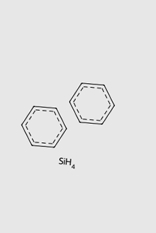 [SiH4].c1ccccc1.c1ccccc1